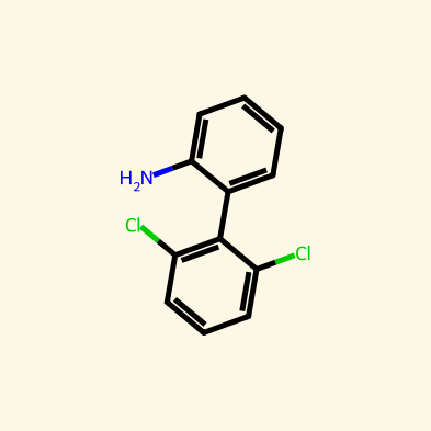 Nc1ccccc1-c1c(Cl)cccc1Cl